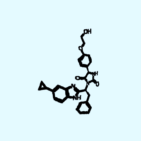 O=C1N[C@H](c2ccc(OCCO)cc2)C(=O)N1[C@@H](Cc1ccccc1)c1nc2cc(C3CC3)ccc2[nH]1